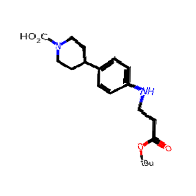 CC(C)(C)OC(=O)CCNc1ccc(C2CCN(C(=O)O)CC2)cc1